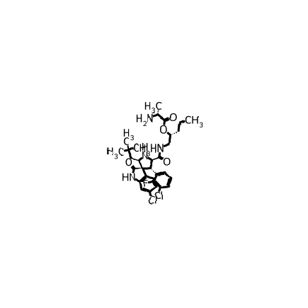 CCC[C@H](CNC(=O)[C@@H]1N[C@H](CC(C)(C)C)[C@]2(C(=O)Nc3cc(Cl)ccc32)[C@H]1c1cccc(Cl)c1F)OC(=O)[C@@H](C)N